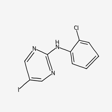 Clc1ccccc1Nc1ncc(I)cn1